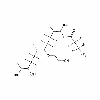 CC(C(O)C(C)(C)C(C)(C)C(F)C(OCCC#N)C(C)(C)C(C)(C)C(C)C(OC(=O)C(F)(F)C(F)(F)C(F)(F)F)C(C)(C)C)C(C)(C)C